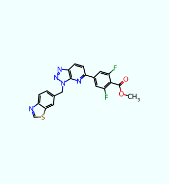 COC(=O)c1c(F)cc(-c2ccc3nnn(Cc4ccc5ncsc5c4)c3n2)cc1F